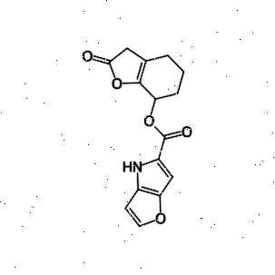 O=C1CC2=C(O1)C(OC(=O)c1cc3occc3[nH]1)CCC2